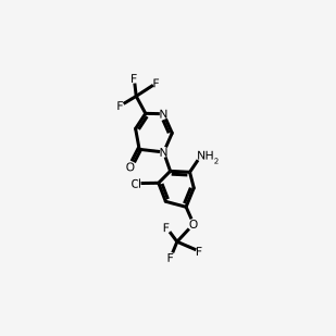 Nc1cc(OC(F)(F)F)cc(Cl)c1-n1cnc(C(F)(F)F)cc1=O